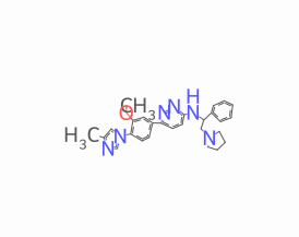 COc1cc(-c2ccc(NC(CN3CCCC3)c3ccccc3)nn2)ccc1-n1cnc(C)c1